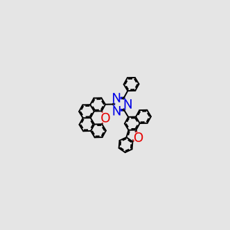 c1ccc(-c2nc(-c3ccc4ccc5ccc6cccc7c6c5c4c3O7)nc(-c3cc4c5ccccc5oc4c4ccccc34)n2)cc1